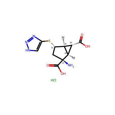 Cl.N[C@@]1(C(=O)O)C[C@H](Sc2c[nH]nn2)[C@H]2[C@H](C(=O)O)[C@H]21